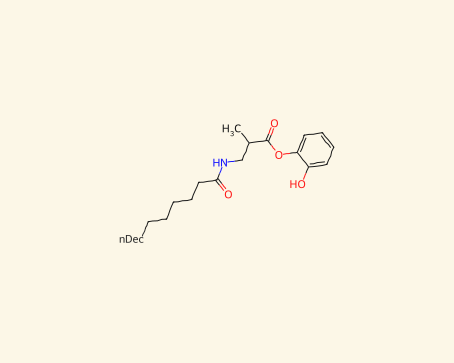 CCCCCCCCCCCCCCCC(=O)NCC(C)C(=O)Oc1ccccc1O